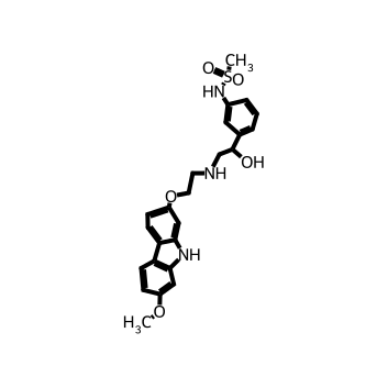 COc1ccc2c(c1)[nH]c1cc(OCCNCC(O)c3cccc(NS(C)(=O)=O)c3)ccc12